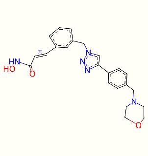 O=C(/C=C/c1cccc(Cn2cc(-c3ccc(CN4CCOCC4)cc3)nn2)c1)NO